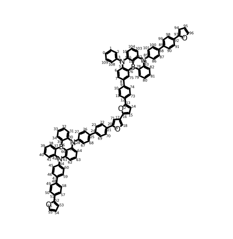 c1ccc(N2c3ccc(-c4ccc(-c5ccc(-c6coc(-c7ccc(-c8ccc(N9c%10ccccc%10B%10c%11ccccc%11N(c%11ccc(-c%12ccc(-c%13ccco%13)cc%12)cc%11)c%11cccc9c%11%10)cc8)cc7)c6)o5)cc4)cc3B3c4ccccc4N(c4ccc(-c5ccc(-c6ccco6)cc5)cc4)c4cccc2c43)cc1